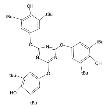 CC(C)(C)c1cc(Oc2nc(Oc3cc(C(C)(C)C)c(O)c(C(C)(C)C)c3)nc(Oc3cc(C(C)(C)C)c(O)c(C(C)(C)C)c3)n2)cc(C(C)(C)C)c1O